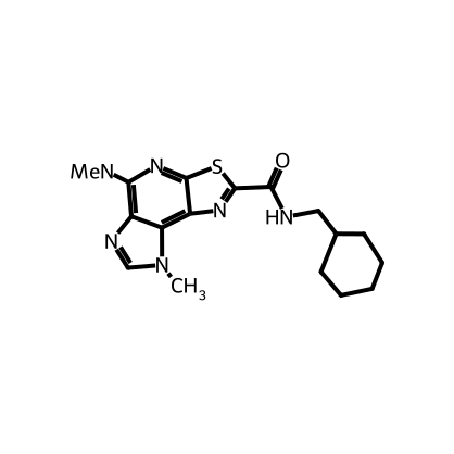 CNc1nc2sc(C(=O)NCC3CCCCC3)nc2c2c1ncn2C